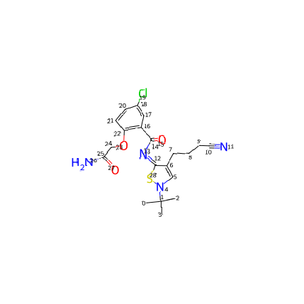 CC(C)(C)n1cc(CCCC#N)c(=NC(=O)c2cc(Cl)ccc2OCC(N)=O)s1